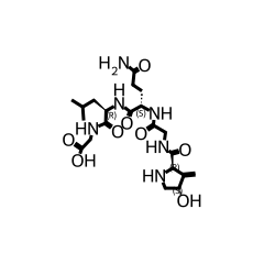 C=C1[C@H](C(=O)NCC(=O)N[C@@H](CCC(N)=O)C(=O)N[C@H](CC(C)C)C(=O)NCC(=O)O)NC[C@H]1O